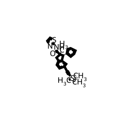 C[C@]1(C(=O)Nc2nccs2)Cc2ccc(C#C[Si](C)(C)C)cc2[C@H]1c1ccccc1